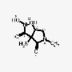 BC1(C(=O)NO)C(=O)N(C)CC1O